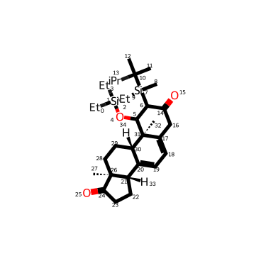 CC[Si](CC)(CC)OC1C([Si](C)(C)C(C)(C)C(C)C)C(=O)CC2=CC=C3[C@@H]4CCC(=O)[C@@]4(C)CC[C@@H]3[C@]21C